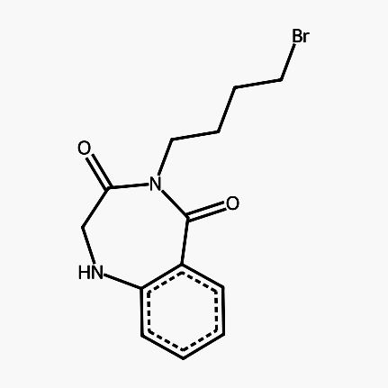 O=C1CNc2ccccc2C(=O)N1CCCCBr